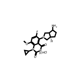 COc1cc(F)c(N2CC3C(N)CC[C@H]3C2)c2c(=O)[nH]c(=O)n(C3CC3)c12.Cl